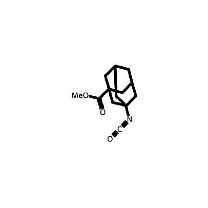 COC(=O)C12CC3CC(CC(N=C=O)(C3)C1)C2